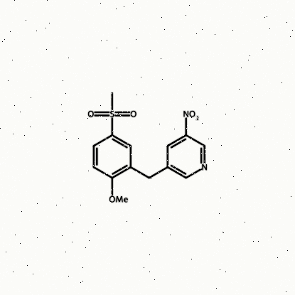 COc1ccc(S(C)(=O)=O)cc1Cc1cncc([N+](=O)[O-])c1